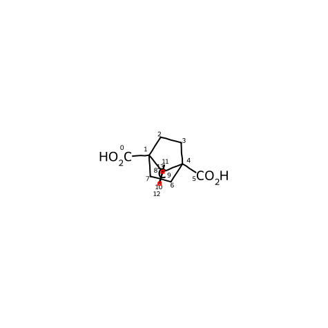 O=C(O)C12CCC(C(=O)O)(CC1)C21CCCCC1